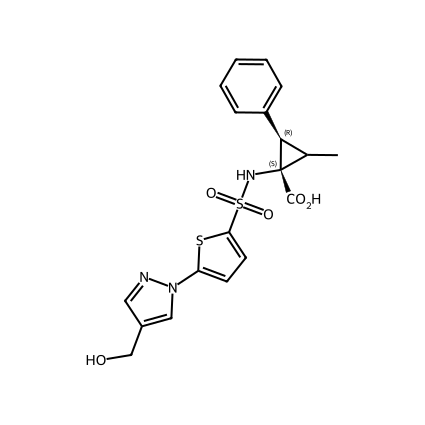 CC1[C@H](c2ccccc2)[C@]1(NS(=O)(=O)c1ccc(-n2cc(CO)cn2)s1)C(=O)O